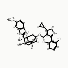 O=C(O)c1ccc2nc([C@@]3(O)[C@@H]4C[C@@H]5C[C@H]3C[C@@](OCc3c(-c6c(Cl)cccc6Cl)noc3C3CC3)(C5)C4)sc2c1